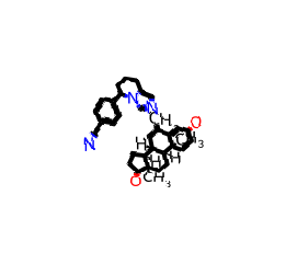 C=C1C[C@@H]2[C@H](CC[C@]3(C)C(=O)CC[C@@H]23)[C@@]2(C)C=CC(=O)C=C12.N#Cc1ccc(C2CCCc3cncn32)cc1